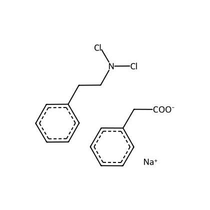 ClN(Cl)CCc1ccccc1.O=C([O-])Cc1ccccc1.[Na+]